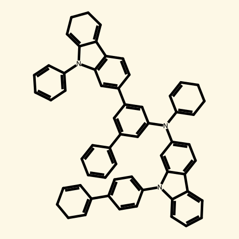 C1=CC(c2ccc(-n3c4ccccc4c4ccc(N(C5=CCCC=C5)c5cc(-c6ccccc6)cc(-c6ccc7c8c(n(-c9ccccc9)c7c6)=CCCC=8)c5)cc43)cc2)=CCC1